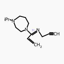 C#CC/N=C(\C=C)N1CCCN(C(C)C)CC1